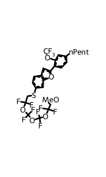 CCCCCc1ccc(-c2cc3ccc(SCC(F)(F)OC(F)(F)OC(F)(F)OC(F)(F)COC)cc3o2)c(OC(F)(F)F)c1